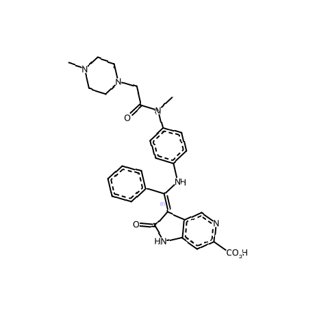 CN1CCN(CC(=O)N(C)c2ccc(N/C(=C3/C(=O)Nc4cc(C(=O)O)ncc43)c3ccccc3)cc2)CC1